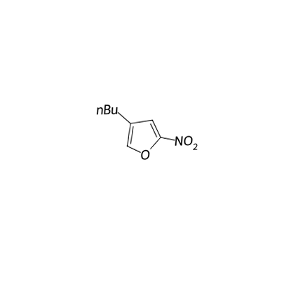 [CH2]CCCc1coc([N+](=O)[O-])c1